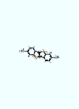 CCCc1ccc2c(c1)sc1c3ccc(CCC)cc3sc21